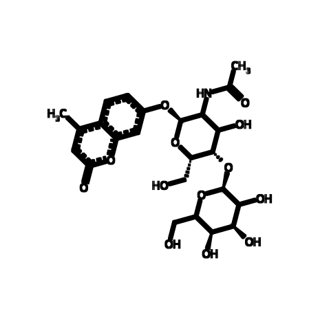 CC(=O)NC1C(O)[C@H](O[C@@H]2OC(CO)[C@H](O)[C@H](O)C2O)[C@H](CO)O[C@H]1Oc1ccc2c(C)cc(=O)oc2c1